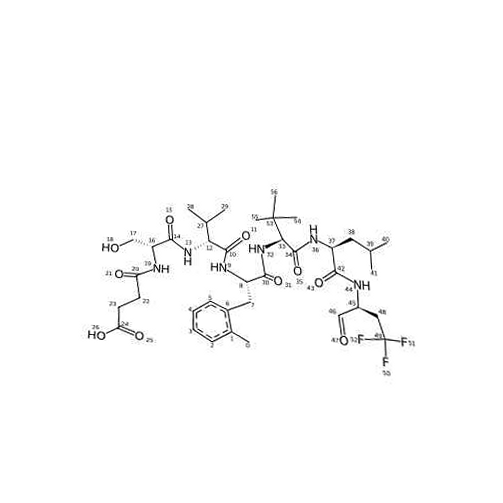 Cc1ccccc1C[C@H](NC(=O)[C@H](NC(=O)[C@@H](CO)NC(=O)CCC(=O)O)C(C)C)C(=O)N[C@H](C(=O)N[C@@H](CC(C)C)C(=O)N[C@H](C=O)CC(F)(F)F)C(C)(C)C